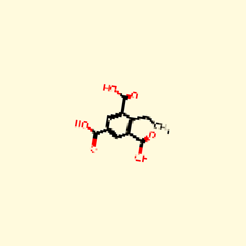 CCc1c(C(=O)O)cc(C(=O)O)cc1C(=O)O